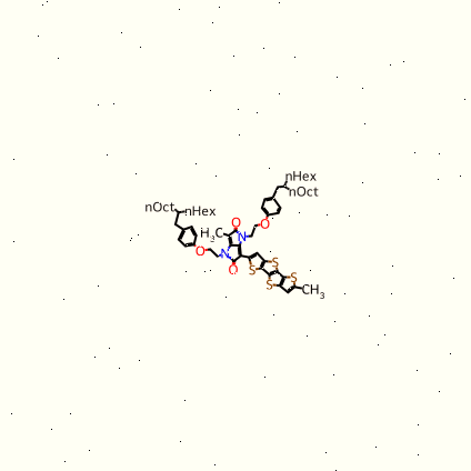 CCCCCCCCC(CCCCCC)Cc1ccc(OCCN2C(=O)C(c3cc4sc5c6sc(C)cc6sc5c4s3)=C3C2=C(C)C(=O)N3CCOc2ccc(CC(CCCCCC)CCCCCCCC)cc2)cc1